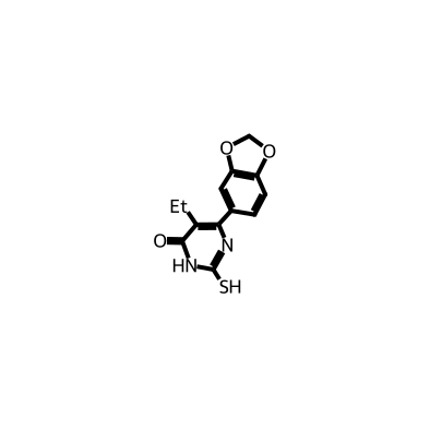 CCc1c(-c2ccc3c(c2)OCO3)nc(S)[nH]c1=O